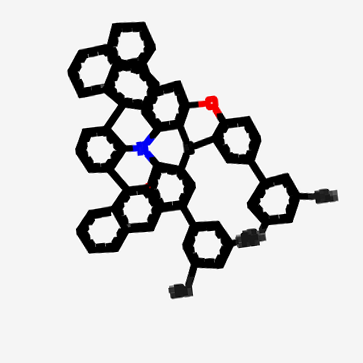 CC(C)(C)c1cc(-c2ccc3c(c2)B2c4cc(-c5cc(C(C)(C)C)cc(C(C)(C)C)c5)ccc4N(c4c(-c5cccc6ccccc56)cccc4-c4cccc5ccccc45)c4cc(-c5ccccc5)cc(c42)O3)cc(C(C)(C)C)c1